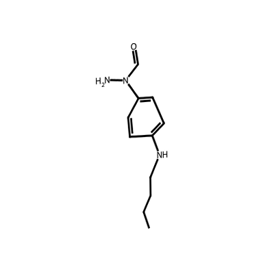 CCCCNc1ccc(N(N)C=O)cc1